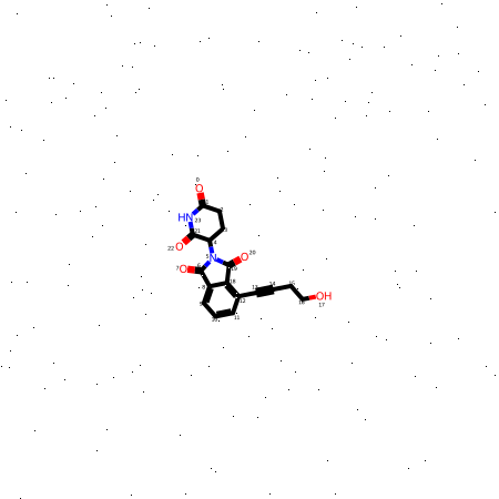 O=C1CCC(N2C(=O)c3cccc(C#CCCO)c3C2=O)C(=O)N1